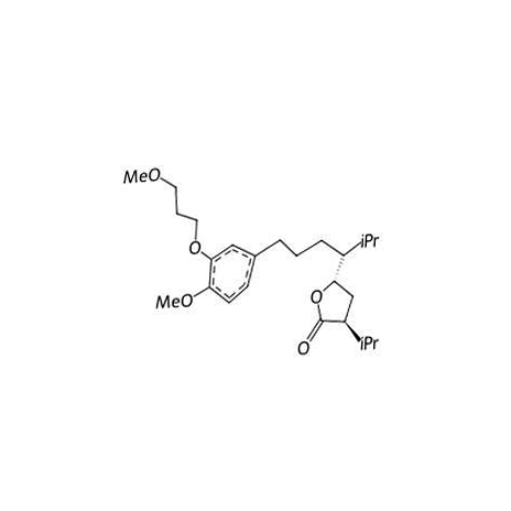 COCCCOc1cc(CCCC(C(C)C)[C@@H]2C[C@@H](C(C)C)C(=O)O2)ccc1OC